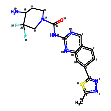 Cc1nnc(-c2ccc3cnc(NC(=O)N4CCC(N)C(F)(F)C4)nc3c2)s1